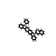 c1ccc(-n2c3ccccc3c3cc4cc5c6ccccc6n(-c6cnc7ccccc7c6)c5cc4cc32)cc1